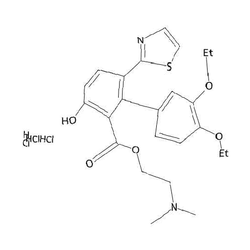 CCOc1ccc(-c2c(-c3nccs3)ccc(O)c2C(=O)OCCN(C)C)cc1OCC.Cl.Cl.Cl